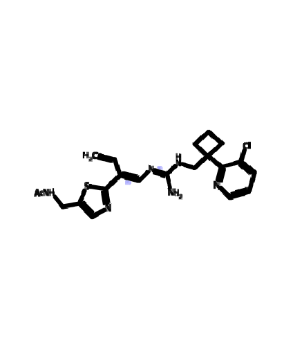 C=C/C(=C\N=C(/N)NCC1(c2ncccc2Cl)CCC1)c1ncc(CNC(C)=O)s1